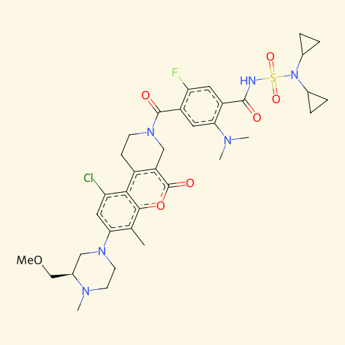 COC[C@H]1CN(c2cc(Cl)c3c4c(c(=O)oc3c2C)CN(C(=O)c2cc(N(C)C)c(C(=O)NS(=O)(=O)N(C3CC3)C3CC3)cc2F)CC4)CCN1C